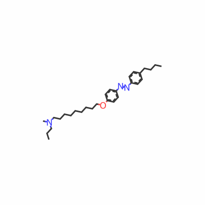 CCCCc1ccc(N=Nc2ccc(OCCCCCCCCCN(C)CCC)cc2)cc1